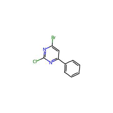 Clc1nc(Br)cc(-c2ccccc2)n1